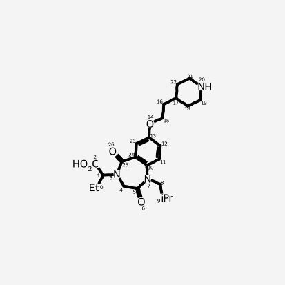 CCC(C(=O)O)N1CC(=O)N(CC(C)C)c2ccc(OCCC3CCNCC3)cc2C1=O